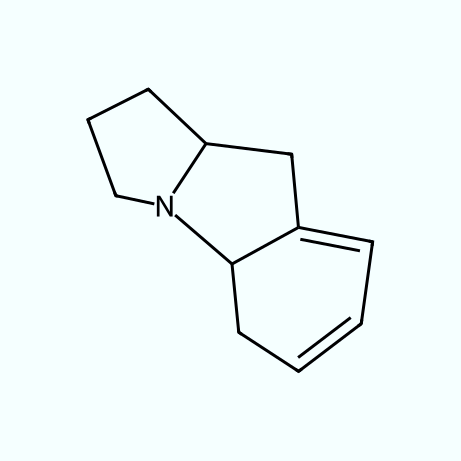 C1=CCC2C(=C1)CC1CCCN12